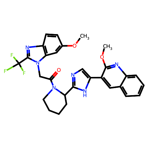 COc1ccc2nc(C(F)(F)F)n(CC(=O)N3CCCCC3c3ncc(-c4cc5ccccc5nc4OC)[nH]3)c2c1